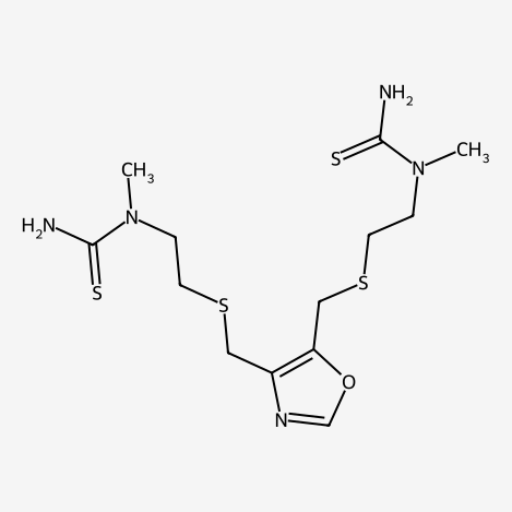 CN(CCSCc1ncoc1CSCCN(C)C(N)=S)C(N)=S